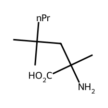 CCCC(C)(C)CC(C)(N)C(=O)O